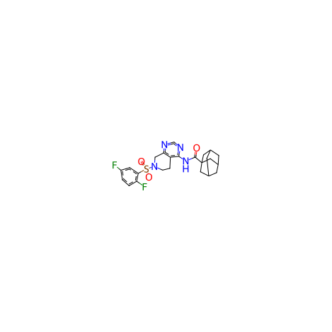 O=C(Nc1ncnc2c1CCN(S(=O)(=O)c1cc(F)ccc1F)C2)C12CC3CC(CC(C3)C1)C2